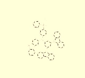 CC1(C)c2ccccc2-c2cc(N(c3cc(-n4c5ccccc5c5ccccc54)cc(-n4c5ccccc5c5ccccc54)c3)c3ccc4c(c3)-c3ccccc3C4(C)C)ccc21